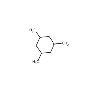 [CH2]N1CC(C)CC(C)C1